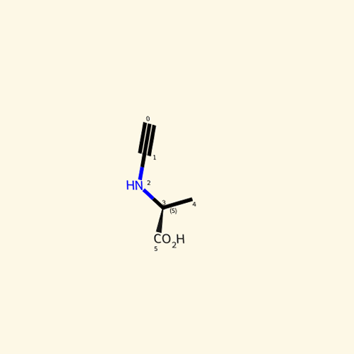 C#CN[C@@H](C)C(=O)O